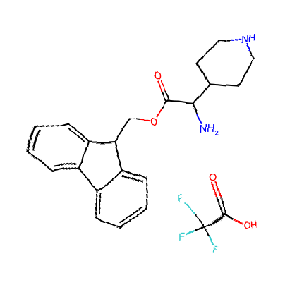 NC(C(=O)OCC1c2ccccc2-c2ccccc21)C1CCNCC1.O=C(O)C(F)(F)F